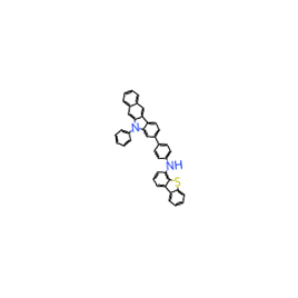 c1ccc(-n2c3cc(-c4ccc(Nc5cccc6c5sc5ccccc56)cc4)ccc3c3cc4ccccc4cc32)cc1